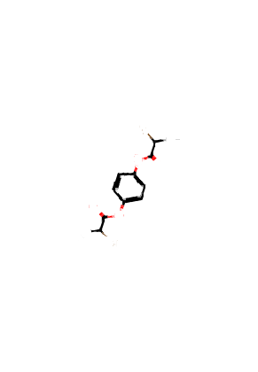 CC(Br)C(=O)Oc1ccc(OC(=O)C(C)Br)cc1